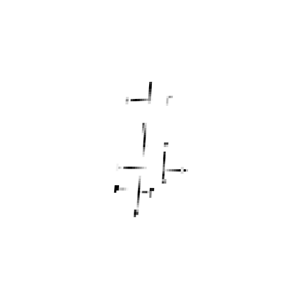 FC(F)(F)C#CC(F)(C(F)(F)F)C(F)(F)F